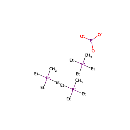 CC[P+](C)(CC)CC.CC[P+](C)(CC)CC.CC[P+](C)(CC)CC.[O-]P([O-])[O-]